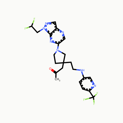 CC(=O)CC1(CCNc2ccc(C(F)(F)F)nc2)CCN(c2cnc3cnn(CC(F)F)c3n2)C1